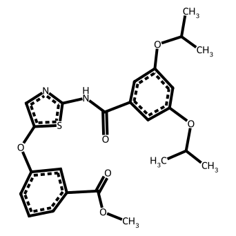 COC(=O)c1cccc(Oc2cnc(NC(=O)c3cc(OC(C)C)cc(OC(C)C)c3)s2)c1